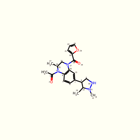 CC(=O)N1c2ccc(C3CNN(C)C3C)cc2N(C(=O)c2ccco2)C[C@@H]1C